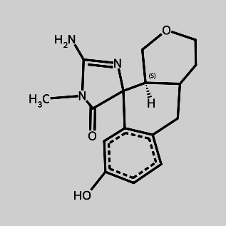 CN1C(=O)C2(N=C1N)c1cc(O)ccc1CC1CCOC[C@@H]12